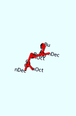 CCCC/C=C\CCC(CCCCCCCCC(=O)OCC(COC(=O)CCCCCCCCCCCCCCCCC)OC(=O)CCCCCCC/C=C\CCCCCCCC)[Si](C)(C)O[Si](C)(C)O[Si](C)(C)C(CCCCCCCC)CCCCCCCCC(=O)OC(COC(=O)CCCCCCCC/C=C\CCC(CCCC)[Si](C)(C)O[Si](C)(C)O[SiH](C)C)COC(=O)CCCCCCCCCCCCCCCCC